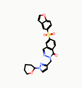 O=c1c2ccc(S(=O)(=O)c3ccc4occc4c3)cc2cnn1Cc1ccn(C2CCCCO2)n1